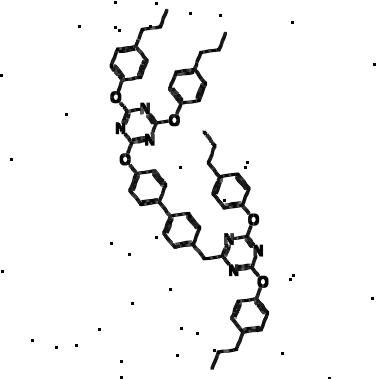 CCCc1ccc(Oc2nc(Cc3ccc(-c4ccc(Oc5nc(Oc6ccc(CCC)cc6)nc(Oc6ccc(CCC)cc6)n5)cc4)cc3)nc(Oc3ccc(CCC)cc3)n2)cc1